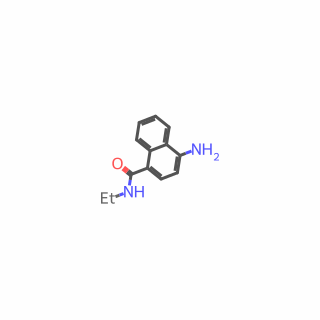 CCNC(=O)c1ccc(N)c2ccccc12